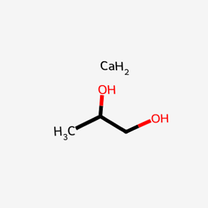 CC(O)CO.[CaH2]